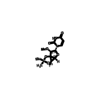 CO[C@H]1[C@H](n2ccc(=O)[nH]c2=O)O[C@@H]2C(I)C21O[Si](C)(C)C(C)(C)C